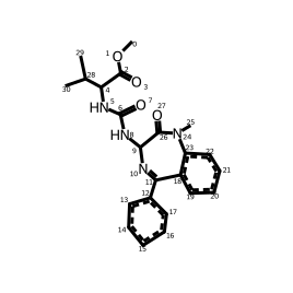 COC(=O)C(NC(=O)NC1N=C(c2ccccc2)c2ccccc2N(C)C1=O)C(C)C